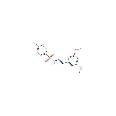 COc1cc(/C=N/NS(=O)(=O)c2ccc(C)cc2)cc(OC)c1